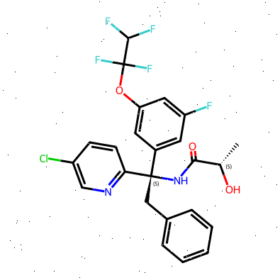 C[C@H](O)C(=O)N[C@@](Cc1ccccc1)(c1cc(F)cc(OC(F)(F)C(F)F)c1)c1ccc(Cl)cn1